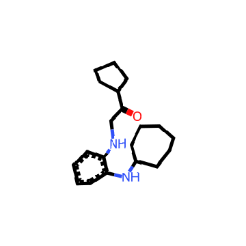 O=C(CNc1ccccc1NC1CCCCCC1)C1CCCC1